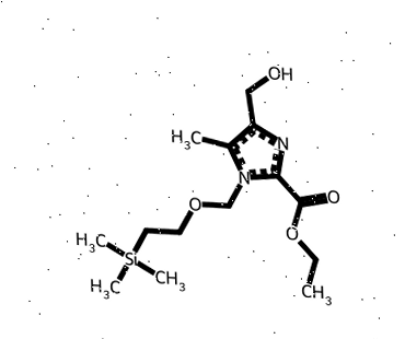 CCOC(=O)c1nc(CO)c(C)n1COCC[Si](C)(C)C